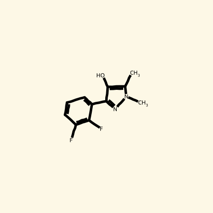 Cc1c(O)c(-c2cccc(F)c2F)nn1C